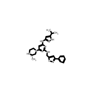 CC(C)c1cc(Nc2cc(N3CCN[C@@H](C)C3)nc(NCc3cc(-c4ccccc4)no3)n2)n[nH]1